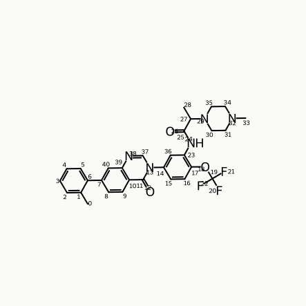 Cc1ccccc1-c1ccc2c(=O)n(-c3ccc(OC(F)(F)F)c(NC(=O)C(C)N4CCN(C)CC4)c3)cnc2c1